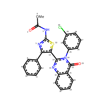 COC(=O)Nc1nc(-c2ccccc2)c(-c2nc3ccccc3c(=O)n2-c2cccc(Cl)c2)s1